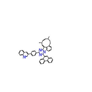 CC1/C=C\[C@H](C)/C=C(/c2nc(-c3ccc(-c4cnc5ccccc5c4)cc3)nc(-c3cc4ccccc4c4ccccc34)n2)c2ccccc2CC1